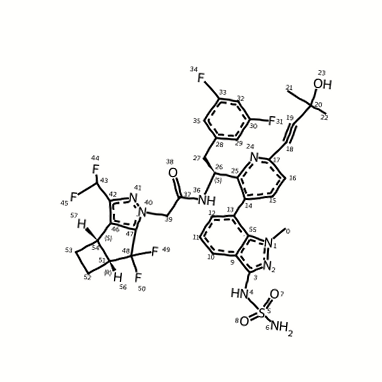 Cn1nc(NS(N)(=O)=O)c2cccc(-c3ccc(C#CC(C)(C)O)nc3[C@H](Cc3cc(F)cc(F)c3)NC(=O)Cn3nc(C(F)F)c4c3C(F)(F)[C@@H]3CC[C@H]43)c21